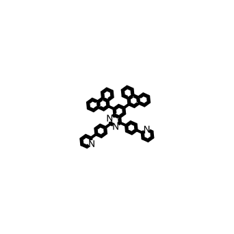 c1ccc(-c2ccc(-c3nc(-c4ccc(-c5ccccn5)cc4)c4cc(-c5cc6ccccc6c6ccccc56)cc(-c5cc6ccccc6c6ccccc56)c4n3)cc2)nc1